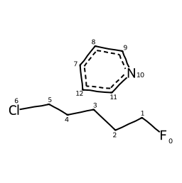 FCCCCCCl.c1ccncc1